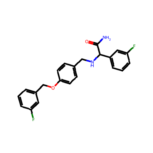 NC(=O)C(NCc1ccc(OCc2cccc(F)c2)cc1)c1cccc(F)c1